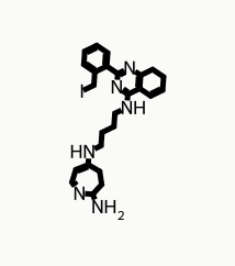 NC1CCC(NCCCCNc2nc(-c3ccccc3CI)nc3c2C=CCC3)=CC=N1